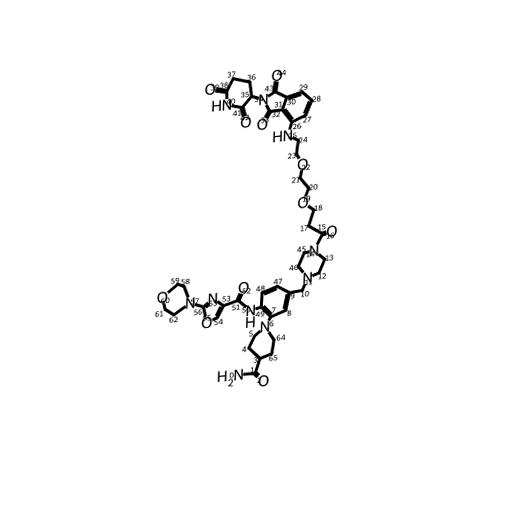 NC(=O)C1CCN(c2cc(CN3CCN(C(=O)CCOCCOCCNc4cccc5c4C(=O)N(C4CCC(=O)NC4=O)C5=O)CC3)ccc2NC(=O)c2coc(N3CCOCC3)n2)CC1